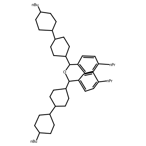 CCCCC1CCC(C2CCC(C(OC(c3ccc(CCC)cc3)C3CCC(C4CCC(CCCC)CC4)CC3)c3ccc(CCC)cc3)CC2)CC1